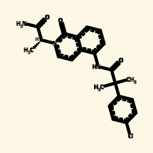 C[C@H](C(N)=O)n1ccc2c(NC(=O)C(C)(C)c3ccc(Cl)cc3)cccc2c1=O